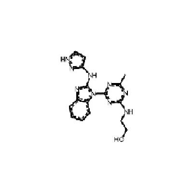 Cc1nc(NCCO)nc(-n2c(Nc3cc[nH]n3)nc3ccccc32)n1